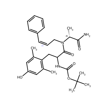 Cc1cc(O)cc(C)c1CC(NC(=O)OC(C)(C)C)C(=O)N(C/C=C\c1ccccc1)[C@H](C)C(N)=O